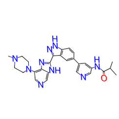 CC(C)C(=O)Nc1cncc(-c2ccc3[nH]nc(-c4nc5c(N6CCN(C)CC6)cncc5[nH]4)c3c2)c1